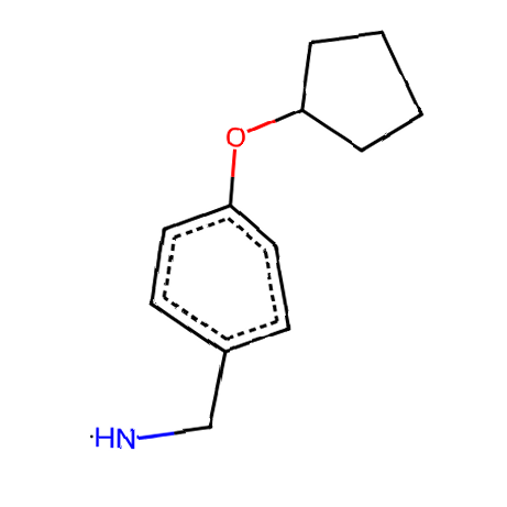 [NH]Cc1ccc(OC2CCCC2)cc1